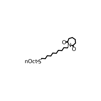 CCCCCCCCSCCCCCCCCCCN1C(=O)CCCCC1=O